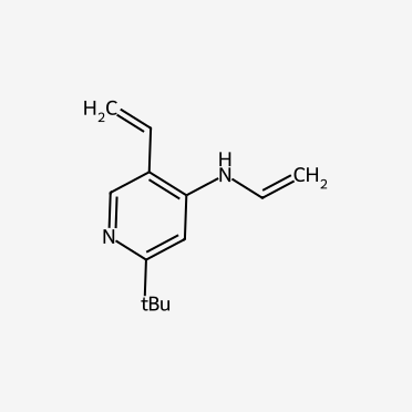 C=CNc1cc(C(C)(C)C)ncc1C=C